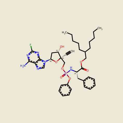 C#C[C@]1(COP(=O)(N[C@@H](Cc2ccccc2)C(=O)OCC(CCCCC)CCCCC)Oc2ccccc2)O[C@@H](n2cnc3c(N)nc(F)nc32)C[C@@H]1O